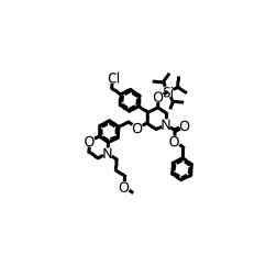 COCCCN1CCOc2ccc(COC3CN(C(=O)OCc4ccccc4)CC(O[Si](C(C)C)(C(C)C)C(C)C)C3c3ccc(CCl)cc3)cc21